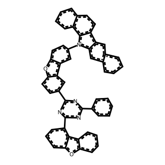 c1ccc(-c2nc(-c3ccc4oc5ccc(-n6c7cc8ccccc8cc7c7ccc8ccccc8c76)cc5c4c3)nc(-c3cccc4oc5ccccc5c34)n2)cc1